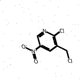 O=[N+]([O-])c1cnc(Cl)c(CCl)c1